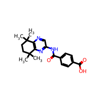 CC1(C)CCC(C)(C)c2nc(NC(=O)c3ccc(C(=O)O)cc3)cnc21